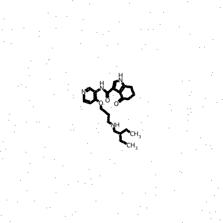 CCC(CC)CNCCCOc1ccncc1NC(=O)c1c[nH]c2c1C(=O)CCC2